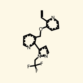 C=Cc1ncccc1OCc1cccnc1-c1ccnn1CC(F)(F)F